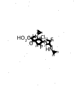 O=C(O)c1cn(C2CC2)c2c(Cl)c(N3CC(F)C(CNC4CC4)C3)c(F)cc2c1=O